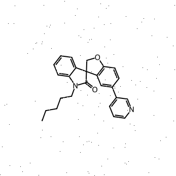 CCCCCN1C(=O)C2(COc3ccc(-c4cccnc4)cc32)c2ccccc21